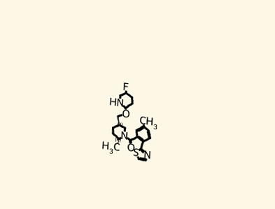 Cc1ccc(-c2nccs2)c(C(=O)N2C[C@H](COC3CCC(F)CN3)CC[C@H]2C)c1